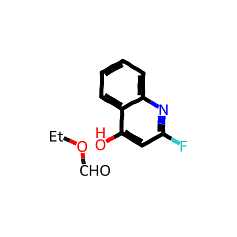 CCOC=O.Oc1cc(F)nc2ccccc12